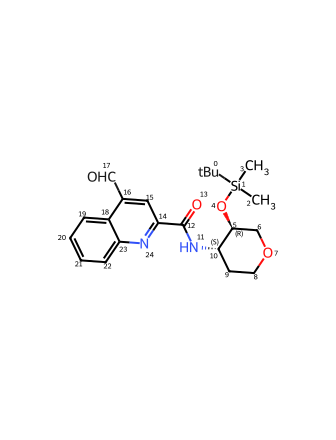 CC(C)(C)[Si](C)(C)O[C@H]1COCC[C@@H]1NC(=O)c1cc(C=O)c2ccccc2n1